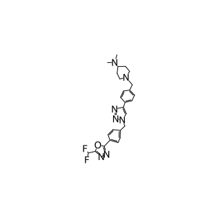 CN(C)C1CCN(Cc2ccc(-c3cn(Cc4ccc(-c5nnc(C(F)F)o5)cc4)nn3)cc2)CC1